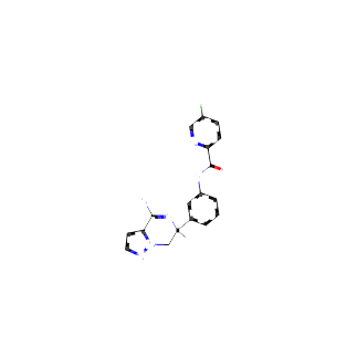 CC1(c2cccc(NC(=O)c3ccc(Cl)cn3)c2)Cn2nccc2C(N)=N1